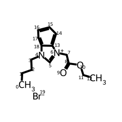 CCCCn1c[n+](CC(=O)OCC)c2ccccc21.[Br-]